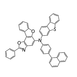 c1ccc(-c2nc3cc(N(c4ccc(-c5cccc6ccccc56)cc4)c4ccc5c(c4)sc4ccccc45)c4oc5ccccc5c4c3o2)cc1